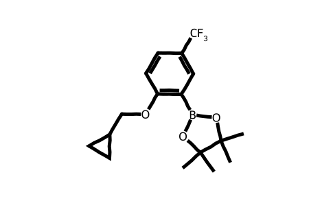 CC1(C)OB(c2cc(C(F)(F)F)ccc2OCC2CC2)OC1(C)C